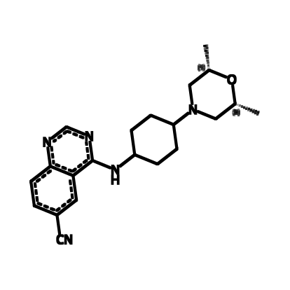 C[C@@H]1CN(C2CCC(Nc3ncnc4ccc(C#N)cc34)CC2)C[C@H](C)O1